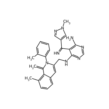 C=C1c2c(C)cccc2C=C(CNc2ncnc(N)c2C(=N)c2cnn(C)c2)N1c1ccccc1C